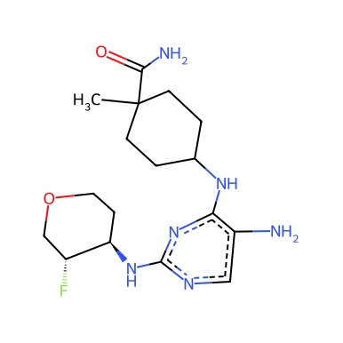 CC1(C(N)=O)CCC(Nc2nc(N[C@@H]3CCOC[C@H]3F)ncc2N)CC1